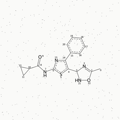 CC1=NC(c2sc(NC(=O)C3CC3)nc2-c2ccccc2)NO1